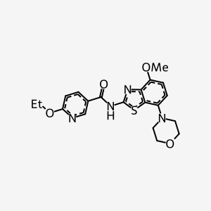 CCOc1ccc(C(=O)Nc2nc3c(OC)ccc(N4CCOCC4)c3s2)cn1